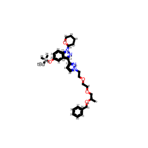 CC(COCCOCCn1ccc(-c2nn(C3CCCCO3)c3ccc(O[Si](C)(C)C(C)(C)C)cc23)n1)OCc1ccccc1